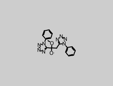 COC([O])(Cc1nnnn1-c1ccccc1)c1nnnn1-c1ccccc1